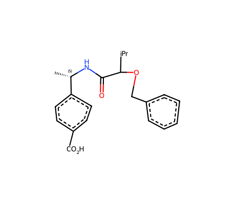 CC(C)C(OCc1ccccc1)C(=O)N[C@@H](C)c1ccc(C(=O)O)cc1